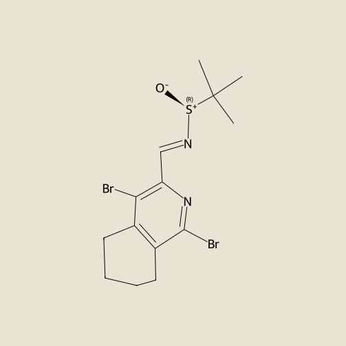 CC(C)(C)[S@+]([O-])N=Cc1nc(Br)c2c(c1Br)CCCC2